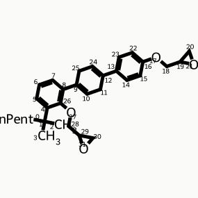 CCCCCC(C)(C)c1cccc(C2=CCC(c3ccc(OCC4CO4)cc3)=CC2)c1OCC1CO1